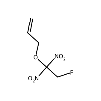 C=CCOC(CF)([N+](=O)[O-])[N+](=O)[O-]